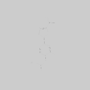 CC(C)Oc1ccc(C2CN=C(C(=O)O)S2)cc1Cl